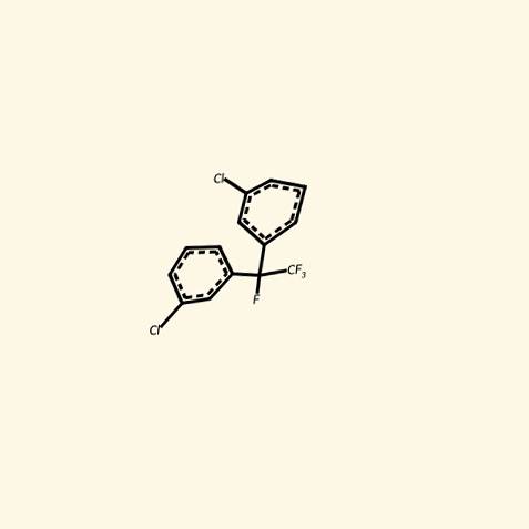 FC(F)(F)C(F)(c1cccc(Cl)c1)c1cccc(Cl)c1